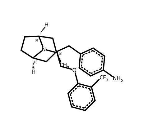 C[C@@]1(Cc2ccc(N)cc2)C[C@H]2CC[C@@H](C1)N2CCOc1ccccc1C(F)(F)F